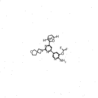 Nc1ncc(-c2cc(N3C[C@@H]4CC[C@H]3CO4)nc(N3CC4(CCOC4)C3)n2)cc1OC(F)F